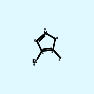 CCC1=C(C)CN=C1